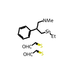 C[CH2][Sn][CH2]C(CNC)c1ccccc1.O=CC=S.O=CC=S